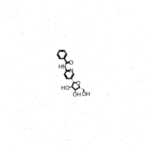 O=C(Nc1ccc([C@@H]2O[C@H](CO)[C@@H](O)[C@H]2O)cn1)c1ccccc1